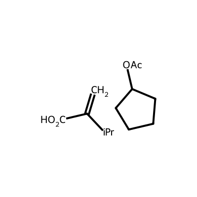 C=C(C(=O)O)C(C)C.CC(=O)OC1CCCC1